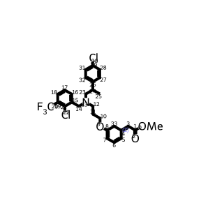 COC(=O)/C=C1\C=CC=C(OCCCN(Cc2cccc(C(F)(F)F)c2Cl)CC(C)c2ccc(Cl)cc2)C1